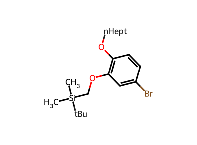 CCCCCCCOc1ccc(Br)cc1OC[Si](C)(C)C(C)(C)C